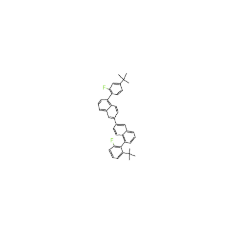 CC(C)(C)c1ccc(-c2cccc3cc(-c4ccc5c(-c6c(F)cccc6C(C)(C)C)cccc5c4)ccc23)c(F)c1